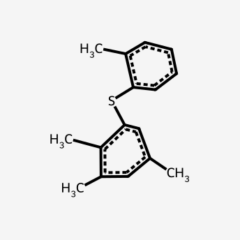 Cc1cc(C)c(C)c(Sc2ccccc2C)c1